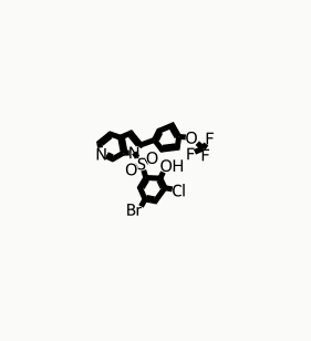 O=S(=O)(c1cc(Br)cc(Cl)c1O)n1c(-c2ccc(OC(F)(F)F)cc2)cc2ccncc21